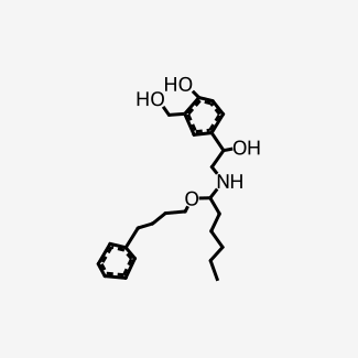 CCCCCC(NCC(O)c1ccc(O)c(CO)c1)OCCCCc1ccccc1